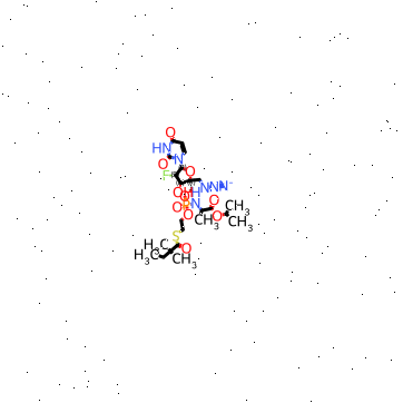 CCC(C)(C)C(=O)SCCOP(=O)(NC(C)C(=O)OC(C)C)OC[C@@]1(CN=[N+]=[N-])O[C@@H](n2ccc(=O)[nH]c2=O)[C@H](F)[C@@H]1O